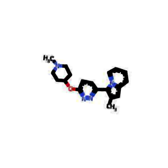 Cc1cc2ccccn2c1-c1ccc(OC2CCN(C)CC2)nn1